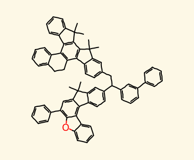 CC1(C)c2cc(C(Cc3ccc4c(c3)C(C)(C)c3c-4c4c(c5c3C(C)(C)c3ccccc3-5)-c3ccccc3CC4)c3cccc(-c4ccccc4)c3)ccc2-c2c1cc(-c1ccccc1)c1oc3ccccc3c21